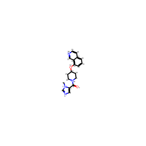 Cn1cncc1C(=O)N1CCC(Oc2cccc3ccncc23)CC1